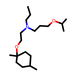 CCCN(CCCOC(C)C)CCOC1(C)CCC(C)CC1